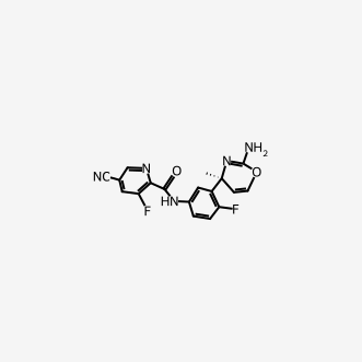 C[C@@]1(c2cc(NC(=O)c3ncc(C#N)cc3F)ccc2F)C=COC(N)=N1